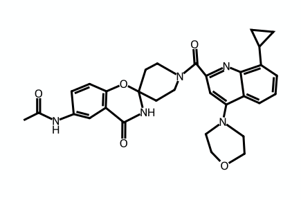 CC(=O)Nc1ccc2c(c1)C(=O)NC1(CCN(C(=O)c3cc(N4CCOCC4)c4cccc(C5CC5)c4n3)CC1)O2